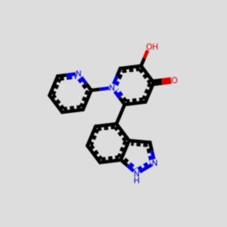 O=c1cc(-c2cccc3[nH]ncc23)n(-c2ccccn2)cc1O